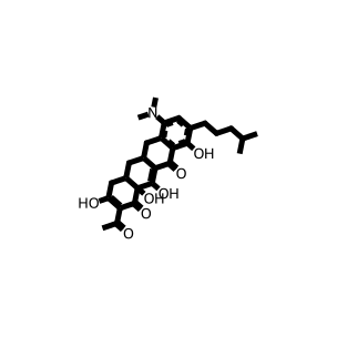 CC(=O)C1=C(O)CC2CC3Cc4c(N(C)C)cc(CCCC(C)C)c(O)c4C(=O)C3=C(O)C2(O)C1=O